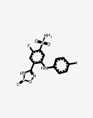 NS(=O)(=O)c1cc(Nc2ccc(I)cc2)c(C2=NOS(=O)N2)cc1F